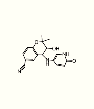 CC1(C)Oc2ccc(C#N)cc2C(Nc2ccc(=O)[nH]c2)C1O